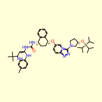 Cc1ccc(N/C(=C\C(=N)C(C)(C)C)NC(=O)N[C@H]2CC[C@@H](Oc3ccc4nnc(N5CC[C@H](O[Si](C(C)C)(C(C)C)C(C)C)C5)n4c3)c3ccccc32)cc1